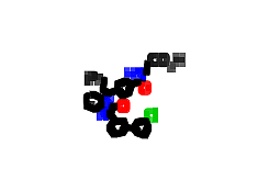 CC(C)CCC(c1ccc(C(=O)NCCC(=O)O)cc1)N1C(=O)C(c2cccc(-c3cccc(Cl)c3)c2)=NC12CCCCC2